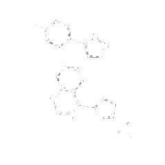 Cc1ccc(-c2n[nH]cc2-c2ccc3ncnc(-c4ccc(S(C)(=O)=O)s4)c3c2)cc1